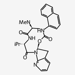 CN[C@@H](C)C(=O)N[C@H](C(=O)N1c2ncccc2C[C@@H]1OC(=O)Nc1cccc2ccccc12)C(C)C